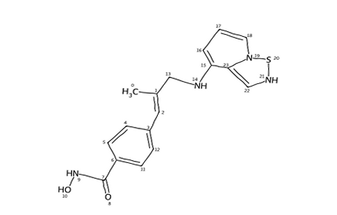 CC(=Cc1ccc(C(=O)NO)cc1)CNC1=CC=CN2SNC=C12